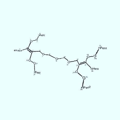 CCCCCCC(OOCCCCC)=C(COCOCOCC(OOCCCCC)=C(CCCCCC)OOCCCCC)OOCCCCC